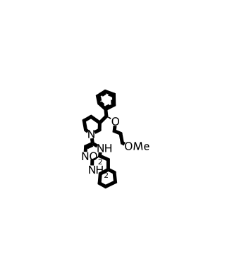 COCCCO[C@@H](c1ccccc1)C1CCCN(C(=C[N+](=O)[O-])N[C@H](CN)CC2CCCCC2)C1